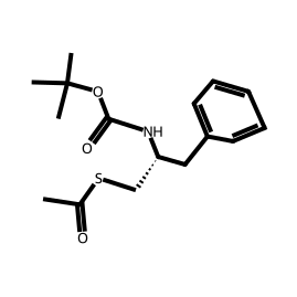 CC(=O)SC[C@@H](Cc1ccccc1)NC(=O)OC(C)(C)C